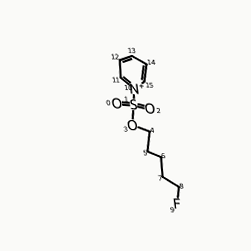 O=S(=O)(OCCCCCF)[n+]1ccccc1